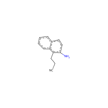 N#CCCc1c(N)ccc2ccccc12